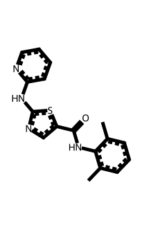 Cc1cccc(C)c1NC(=O)c1cnc(Nc2ccccn2)s1